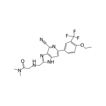 CCOc1ccc(-c2cc3[nH]c(CNCC(=O)N(C)C)nc3c(C#N)n2)cc1C(F)(F)F